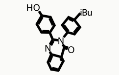 CCC(C)c1ccc(-n2c(-c3ccc(O)cc3)nc3ccccc3c2=O)cc1